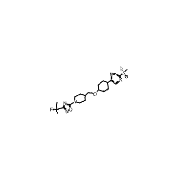 CC(C)(F)c1noc(N2CCC(COC3CCC(c4cnc(S(C)(=O)=O)cn4)CC3)CC2)n1